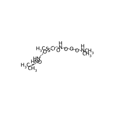 CC(C)C#CCNC(=O)NCCCCOC(C)SSc1ccc(CC(=O)NCCOCCOCCOCCNC(C)C)cc1